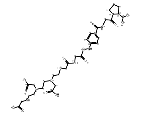 O=C(O)CNCCN(CCN(CCNCC(=O)NCC(=O)NNc1ccc(C(=O)NCC(=O)N2CCC[C@H]2B(O)O)cc1)CC(=O)O)CC(=O)O